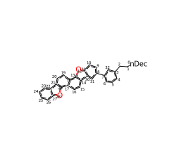 CCCCCCCCCCCCc1cccc(-c2ccc3oc4c(ccc5c4ccc4c6ccccc6oc45)c3c2)c1